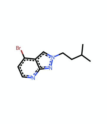 CC(C)CCn1cc2c(Br)ccnc2n1